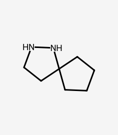 C1CCC2(C1)CCNN2